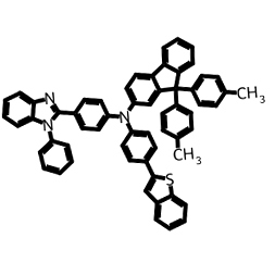 Cc1ccc(C2(c3ccc(C)cc3)c3ccccc3-c3ccc(N(c4ccc(-c5cc6ccccc6s5)cc4)c4ccc(-c5nc6ccccc6n5-c5ccccc5)cc4)cc32)cc1